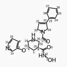 O=C(NO)[C@H]1C[C@H](Oc2cccnc2)CN[C@@H]1C(=O)N1CC=C(c2ccccc2)C1